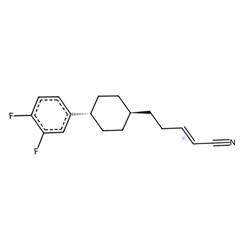 N#C/C=C/CC[C@H]1CC[C@H](c2ccc(F)c(F)c2)CC1